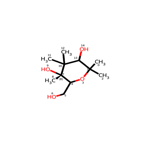 CC1(C)OC(CO)[C@](C)(O)C(C)(C)C1O